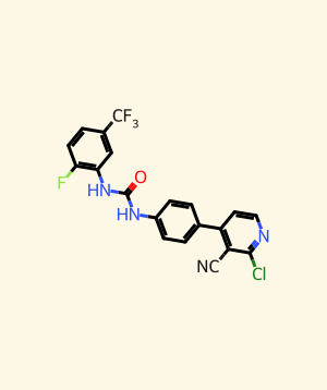 N#Cc1c(-c2ccc(NC(=O)Nc3cc(C(F)(F)F)ccc3F)cc2)ccnc1Cl